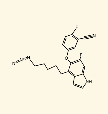 N#Cc1cc(Oc2c(F)cc3[nH]ccc3c2CCCCCN=[N+]=[N-])ccc1F